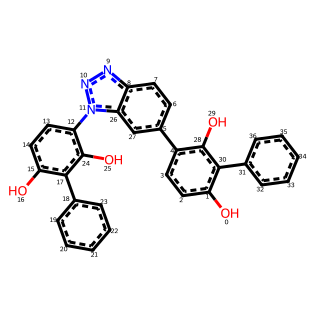 Oc1ccc(-c2ccc3nnn(-c4ccc(O)c(-c5ccccc5)c4O)c3c2)c(O)c1-c1ccccc1